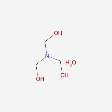 O.OCN(CO)CO